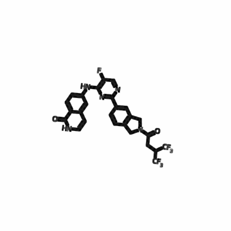 O=C(CC(C(F)(F)F)C(F)(F)F)N1Cc2ccc(-c3ncc(F)c(Nc4ccc5c(=O)[nH]ccc5c4)n3)cc2C1